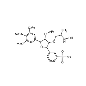 CCCOC1C(c2cc(OC)c(OC)c(OC)c2)OC(c2cccc(S(=O)(=O)CCC)c2)C1OCC(C)NO